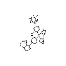 CC1(C)OB(c2ccc3c(c2)Oc2cc(-c4cccc5cccnc45)ccc2C32c3ccccc3-c3ccccc32)OC1(C)C